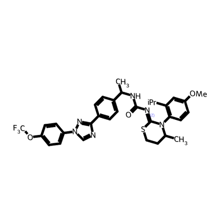 COc1ccc(N2/C(=N/C(=O)NC(C)c3ccc(-c4ncn(-c5ccc(OC(F)(F)F)cc5)n4)cc3)SCCC2C)c(C(C)C)c1